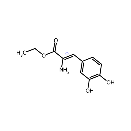 CCOC(=O)/C(N)=C/c1ccc(O)c(O)c1